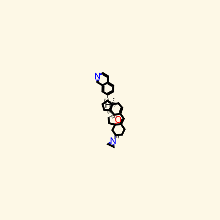 C[C@]12CC=C3C=C4CC[C@H](N5CC5)CC45CC[C@]3(O5)[C@@H]1CC[C@@H]2c1ccc2ccncc2c1